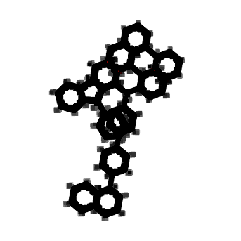 c1ccc(-c2cccc3cccc(-c4ccccc4N(c4ccc(-c5ccc(-c6cccc7ccccc67)cc5)cc4)c4cccc5c6ccccc6n(-c6ccccc6)c45)c23)cc1